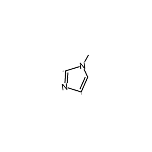 Cn1[c]n[c]c1